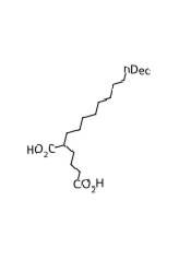 CCCCCCCCCCCCCCCCCCC(CCCC(=O)O)C(=O)O